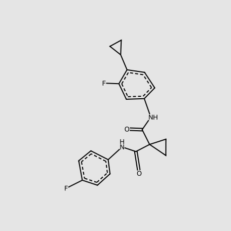 O=C(Nc1ccc(F)cc1)C1(C(=O)Nc2ccc(C3CC3)c(F)c2)CC1